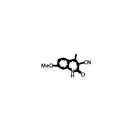 COc1ccc2c(C)c(C#N)c(=O)[nH]c2c1